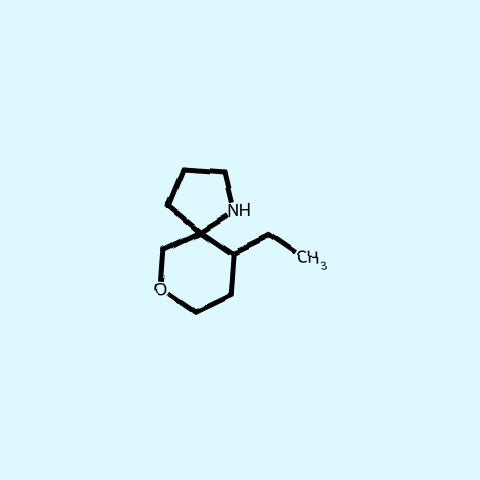 CCC1CCOCC12CCCN2